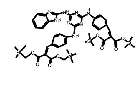 C[Si](C)(C)COC(=O)C(=Cc1ccc(Nc2nc(Nc3ccc(C=C(C(=O)O[Si](C)(C)C)C(=O)O[Si](C)(C)C)cc3)nc(Nc3nc4ccccc4[nH]3)n2)cc1)C(=O)OC[Si](C)(C)C